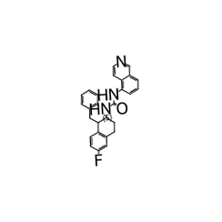 O=C(Nc1cccc2cnccc12)N[C@H]1CCc2cc(F)ccc2C1Cc1ccccc1